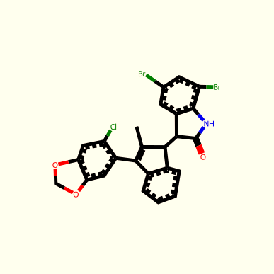 CC1=C(c2cc3c(cc2Cl)OCO3)c2ccccc2C1C1C(=O)Nc2c(Br)cc(Br)cc21